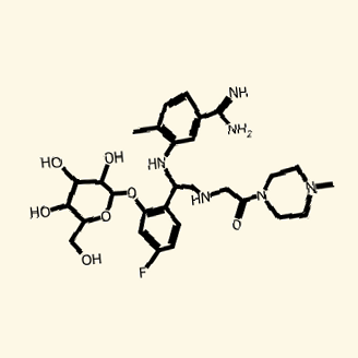 Cc1ccc(C(=N)N)cc1NC(CNCC(=O)N1CCN(C)CC1)c1ccc(F)cc1OC1OC(CO)C(O)C(O)C1O